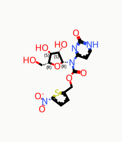 O=C(OCc1ccc([N+](=O)[O-])s1)N(c1cc[nH]c(=O)n1)[C@@H]1O[C@H](CO)[C@@H](O)[C@@H]1O